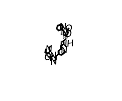 CN1CC[C@H](Oc2cncc(-c3ccnc(CNCC[C@H]4CN(C5=NC=CCC5)C(=O)O4)c3)n2)C1